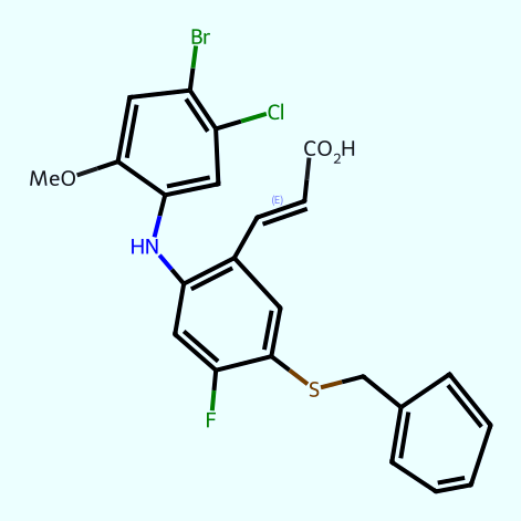 COc1cc(Br)c(Cl)cc1Nc1cc(F)c(SCc2ccccc2)cc1/C=C/C(=O)O